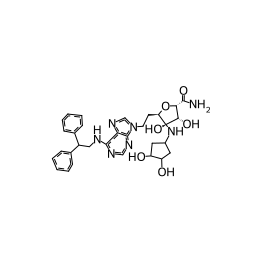 NC(=O)[C@H]1O[C@H](CCn2cnc3c(NCC(c4ccccc4)c4ccccc4)ncnc32)[C@@](O)(NC2CC(O)C(O)C2)[C@H]1O